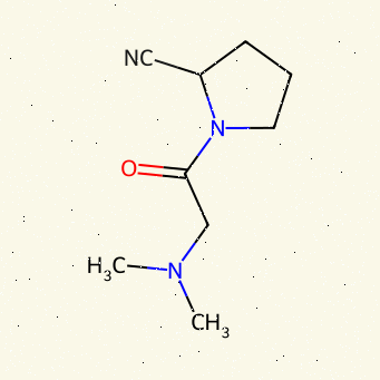 CN(C)CC(=O)N1CCCC1C#N